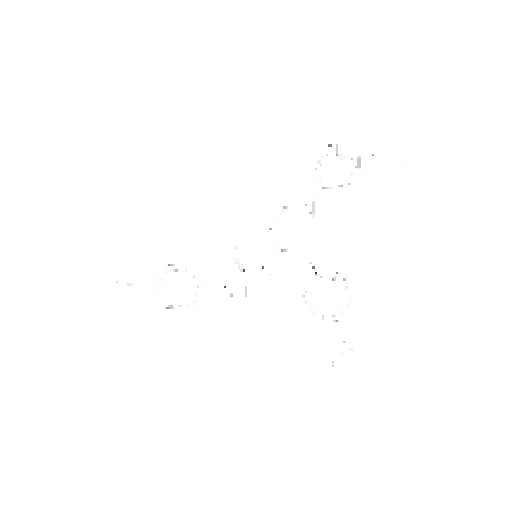 COc1ccc([C@@H]2CN(c3cnn(C)c3)CC[C@H]2NC(=O)Nc2ccc(Cl)cc2)nc1